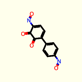 O=NC1=CC=C(c2ccc(N=O)cc2)C(=O)C1=O